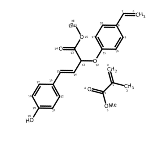 C=C(C)C(=O)OC.C=Cc1ccc(OC(C=Cc2ccc(O)cc2)C(=O)OC(C)(C)C)cc1